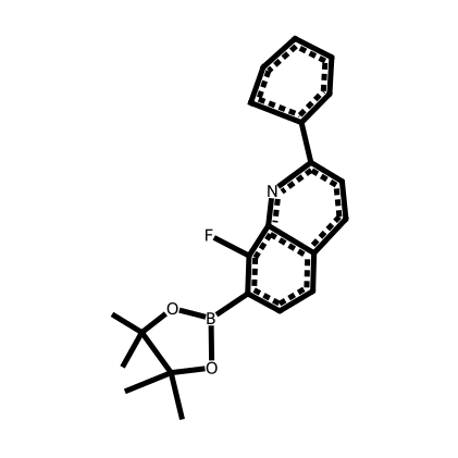 CC1(C)OB(c2ccc3ccc(-c4ccccc4)nc3c2F)OC1(C)C